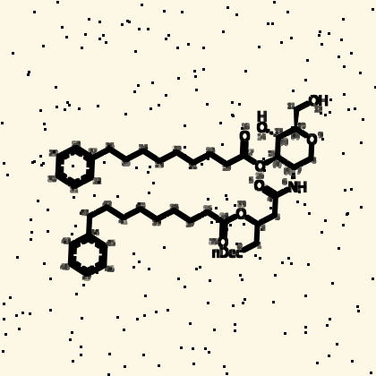 CCCCCCCCCCCC(CC(=O)N[C@H]1CO[C@H](CO)[C@@H](O)[C@@H]1OC(=O)CCCCCCCCc1ccccc1)OC(=O)CCCCCCCCc1ccccc1